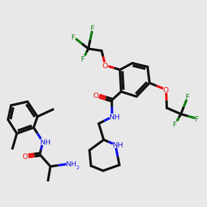 Cc1cccc(C)c1NC(=O)C(C)N.O=C(NCC1CCCCN1)c1cc(OCC(F)(F)F)ccc1OCC(F)(F)F